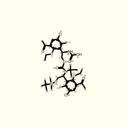 CCOc1c(C(C)=O)cc(Cl)c(F)c1C(COC(=O)N(C(CO[Si](C)(C)C(C)(C)C)c1c(F)c(Cl)cc(C(C)=O)c1OCC)C(C)(C)C)NC(=O)O